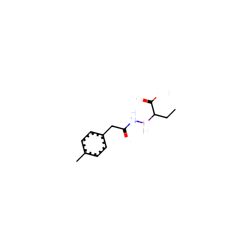 CCC(PNC(=O)Cc1ccc(C)cc1)C(=O)O